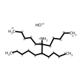 CCCCCC(CCCC)C(N)(CCCCC)CCCCC.Cl